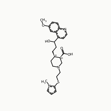 COc1ccc2nccc(C(O)CC[C@@H]3CCN(CCSc4cccn4C)C[C@@H]3C(=O)O)c2c1